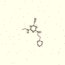 CCNc1nc(C#N)nc(NCCc2ccccc2)n1